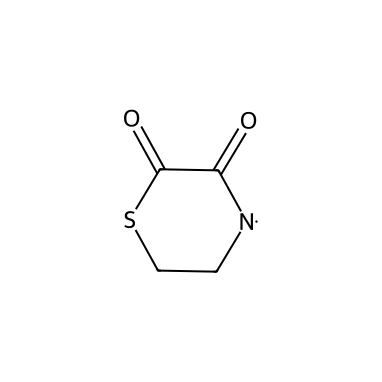 O=C1[N]CCSC1=O